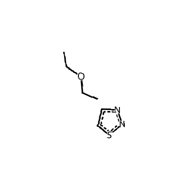 CCOCC.c1csnn1